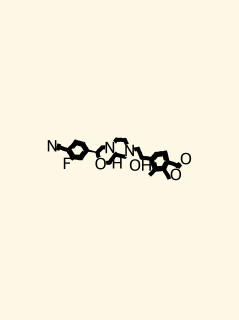 Cc1c([C@@H](O)CN2CCN3C[C@H](c4ccc(C#N)c(F)c4)OC[C@H]3C2)ccc2c1COC2=O